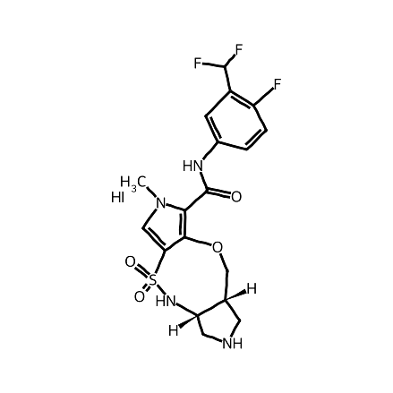 Cn1cc2c(c1C(=O)Nc1ccc(F)c(C(F)F)c1)OC[C@@H]1CNC[C@@H]1NS2(=O)=O.I